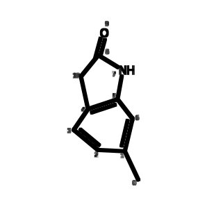 Cc1ccc2c(c1)NC(=O)C2